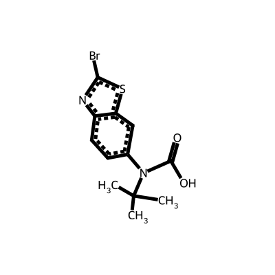 CC(C)(C)N(C(=O)O)c1ccc2nc(Br)sc2c1